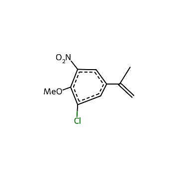 C=C(C)c1cc(Cl)c(OC)c([N+](=O)[O-])c1